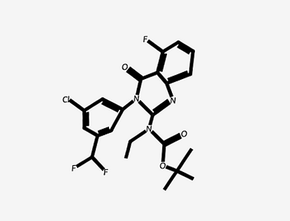 CCN(C(=O)OC(C)(C)C)c1nc2cccc(F)c2c(=O)n1-c1cc(Cl)cc(C(F)F)c1